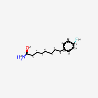 NC(=O)CCCCCCCc1ccc(F)cc1